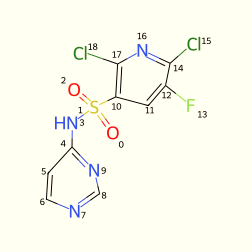 O=S(=O)(Nc1ccncn1)c1cc(F)c(Cl)nc1Cl